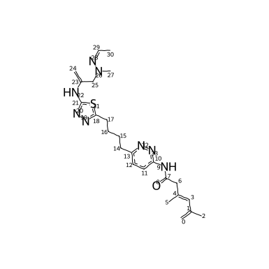 C=C(C)/C=C(\C)CC(=O)Nc1ccc(CCCCc2nnc(NC(=C)CN(C)/N=C\C)s2)nn1